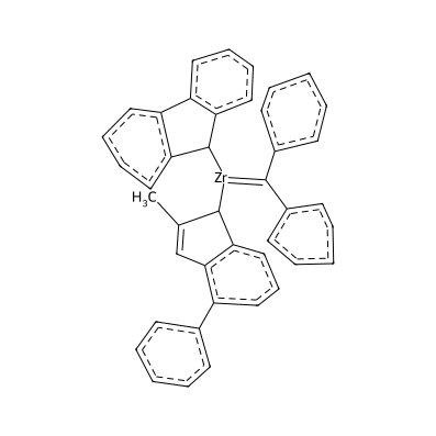 CC1=Cc2c(-c3ccccc3)cccc2[CH]1[Zr](=[C](c1ccccc1)c1ccccc1)[CH]1c2ccccc2-c2ccccc21